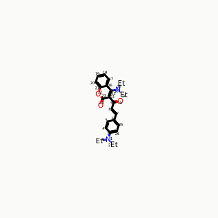 CCN(CC)c1ccc(C=CC(=O)c2c(N(CC)CC)c3ccccc3oc2=O)cc1